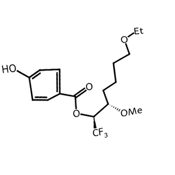 CCOCCCC[C@H](OC)[C@H](OC(=O)c1ccc(O)cc1)C(F)(F)F